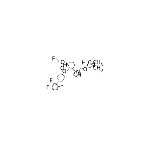 C[Si](C)(C)CCOCn1nccc1C1CCCN(C(=O)OCCF)C1COC1CCC(c2c(F)ccc(F)c2F)CC1